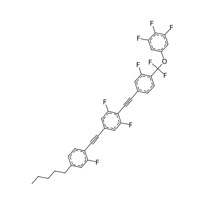 CCCCCc1ccc(C#Cc2cc(F)c(C#Cc3ccc(C(F)(F)Oc4cc(F)c(F)c(F)c4)c(F)c3)c(F)c2)c(F)c1